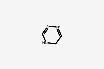 C1=N[N+]=CCN1